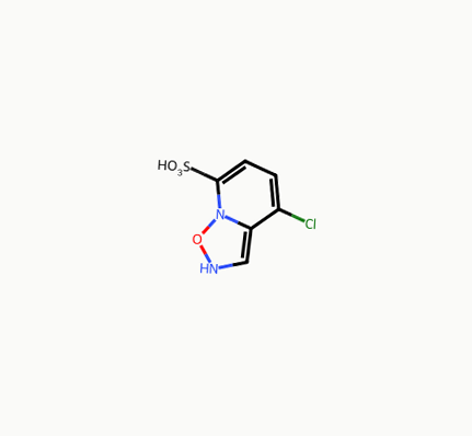 O=S(=O)(O)C1=CC=C(Cl)C2=CNON21